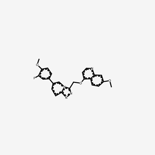 COc1ccc2c(OCc3nnc4ccc(-c5ccc(OC)c(F)c5)cn34)ccnc2c1